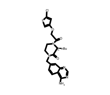 CCCC[C@H]1C(=O)N(Cc2ccc3c(N)ncnc3c2)CCN1C(=O)COc1csc(Cl)c1